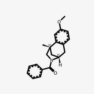 COc1ccc2c(c1)[C@]1(C)C[C@H](C2)N(C(=O)c2ccccc2)C1